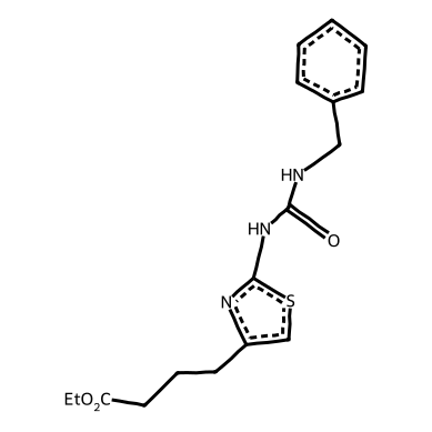 CCOC(=O)CCCc1csc(NC(=O)NCc2ccccc2)n1